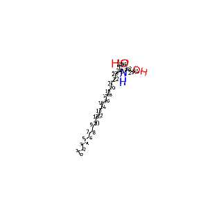 CCCCCCCCCCCCCCCCCCCCCCCCC(CO)NCCO